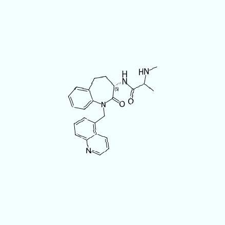 CNC(C)C(=O)N[C@H]1CCc2ccccc2N(Cc2cccc3ncccc23)C1=O